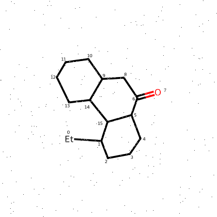 CCC1CCCC2C(=O)CC3CCCCC3C12